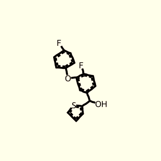 OC(c1ccc(F)c(Oc2ccc(F)cc2)c1)c1cccs1